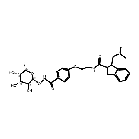 C[C@@H]1O[C@@H](ONC(=O)c2ccc(OCCNC(=O)C3Cc4ccccc4C3CN(C)C)cc2)[C@@H](O)[C@H](O)[C@@H]1O